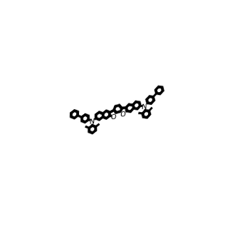 Cc1cccc(C)c1N(c1ccc(-c2ccccc2)cc1)c1ccc2cc3c(cc2c1)oc1c3ccc2c3cc4ccc(N(c5ccc(-c6ccccc6)cc5)c5c(C)cccc5C)cc4cc3oc21